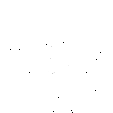 C#CCOc1cc(C(F)(F)F)ccc1Br